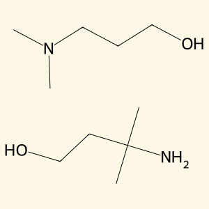 CC(C)(N)CCO.CN(C)CCCO